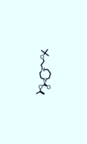 C=C(C)OC(=O)N1CCCN(CCOC(C)(C)C)CC1